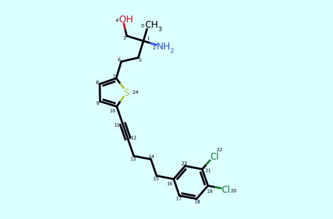 CC(N)(CO)CCc1ccc(C#CCCCc2ccc(Cl)c(Cl)c2)s1